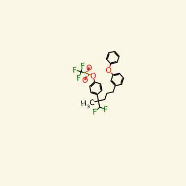 CC(CCCc1cccc(Oc2ccccc2)c1)(c1ccc(OS(=O)(=O)C(F)(F)F)cc1)C(F)F